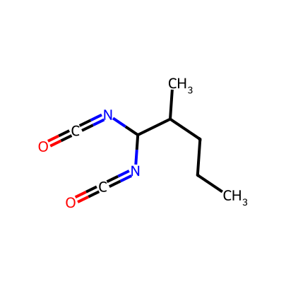 CCCC(C)C(N=C=O)N=C=O